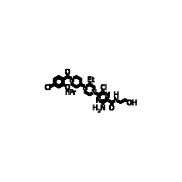 CCCOc1cc(Cl)ccc1C(=O)N1CCC(N2CCN(c3nc(N)c(C(=O)NCCO)nc3Cl)C[C@@H]2CC)CC1